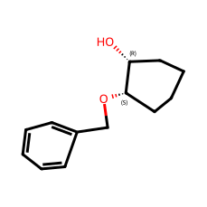 O[C@@H]1CCCC[C@@H]1OCc1ccccc1